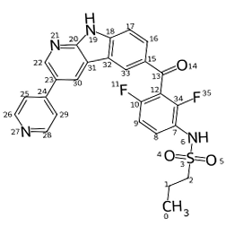 CCCS(=O)(=O)Nc1ccc(F)c(C(=O)c2ccc3[nH]c4ncc(-c5ccncc5)cc4c3c2)c1F